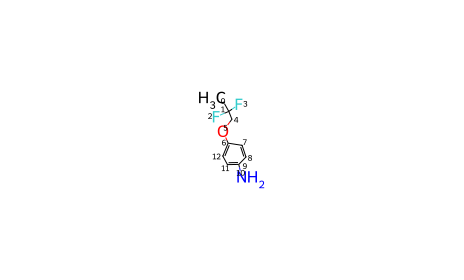 CC(F)(F)COc1ccc(N)cc1